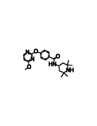 COc1ccnc(Oc2ccc(C(=O)NC3CC(C)(C)NC(C)(C)C3)cc2)n1